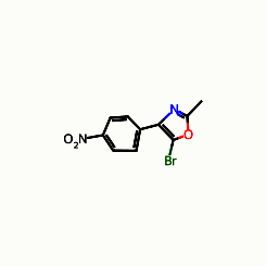 Cc1nc(-c2ccc([N+](=O)[O-])cc2)c(Br)o1